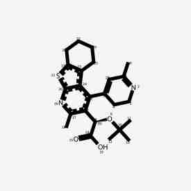 CC1=NCCC(c2c([C@@H](OC(C)(C)C)C(=O)O)c(C)nc3sc4c(c23)CCCC4)=C1